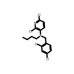 CCCCN(Cc1ccc(Cl)cc1Cl)c1ccc(Cl)nc1Cl